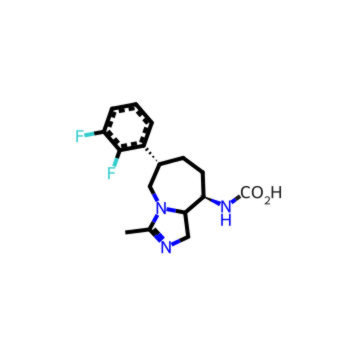 CC1=NCC2[C@H](NC(=O)O)CC[C@@H](c3cccc(F)c3F)CN12